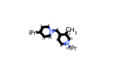 CC(C)C1CCN(CC2CCN(C(C)C)CC2C)CC1